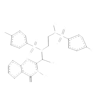 CC(c1nc2ccccc2c(=O)n1C)N(CCN(C)S(=O)(=O)c1ccc(Cl)cc1)S(=O)(=O)c1ccc(Cl)cc1